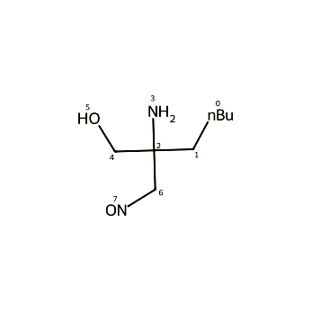 CCCCCC(N)(CO)CN=O